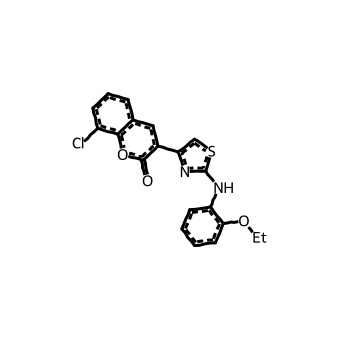 CCOc1ccccc1Nc1nc(-c2cc3cccc(Cl)c3oc2=O)cs1